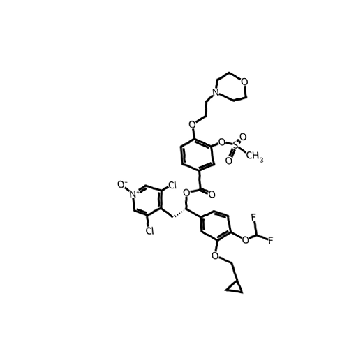 CS(=O)(=O)Oc1cc(C(=O)O[C@@H](Cc2c(Cl)c[n+]([O-])cc2Cl)c2ccc(OC(F)F)c(OCC3CC3)c2)ccc1OCCN1CCOCC1